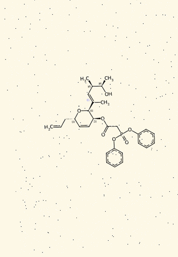 C=CC[C@H]1C=C[C@H](OC(=O)CP(=O)(Oc2ccccc2)Oc2ccccc2)[C@H](/C(C)=C/[C@@H](C)[C@@H](C)O)O1